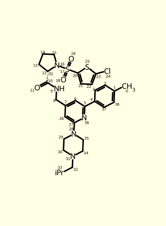 Cc1ccc(-c2cc(CNC(=O)[C@@H]3CCCN3S(=O)(=O)c3ccc(Cl)s3)cc(N3CCN(CC(C)C)CC3)n2)cc1